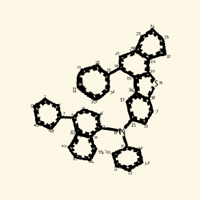 c1ccc(-c2ccc(N(c3ccccc3)c3ccc4sc5c6ccccc6cc(-c6ccccc6)c5c4c3)c3ccccc23)cc1